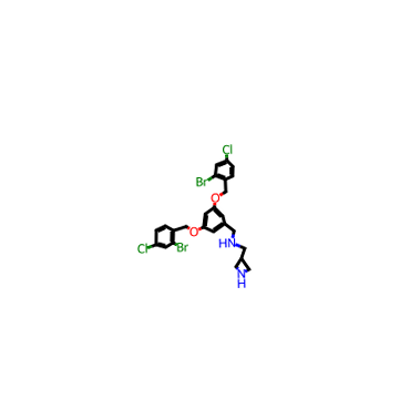 Clc1ccc(COc2cc(CNCC3CNC3)cc(OCc3ccc(Cl)cc3Br)c2)c(Br)c1